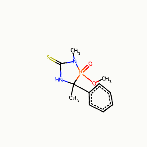 COP1(=O)N(C)C(=S)NC1(C)c1ccccc1